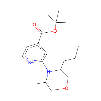 CCCC1COCC(C)N1c1cc(C(=O)OC(C)(C)C)ccn1